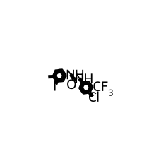 Cc1ccc(NC(=O)Nc2ccc(Cl)c(C(F)(F)F)c2)cc1I